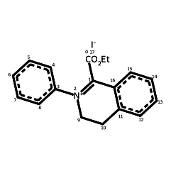 CCOC(=O)C1=[N+](c2ccccc2)CCc2ccccc21.[I-]